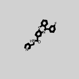 O=C(NCc1cccnc1)c1ccc2c(c1)N=C(c1cccc(F)c1)c1ccccc1S2